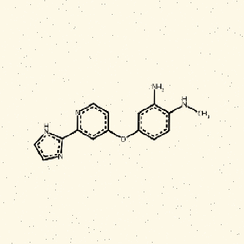 CNc1ccc(Oc2ccnc(-c3ncc[nH]3)c2)cc1N